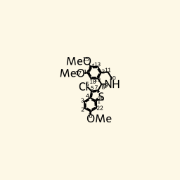 COc1ccc2c(Cl)c(C3NCCc4cc(OC)c(OC)cc43)sc2c1